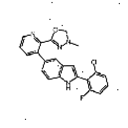 CN1COC(c2ncccc2-c2ccc3[nH]c(-c4c(F)cccc4Cl)cc3c2)=N1